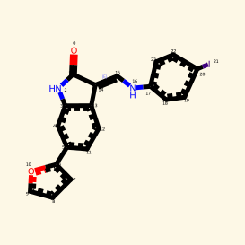 O=C1Nc2cc(-c3ccco3)ccc2/C1=C\Nc1ccc(I)cc1